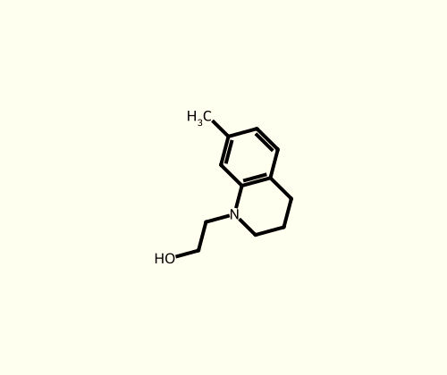 Cc1ccc2c(c1)N(CCO)CCC2